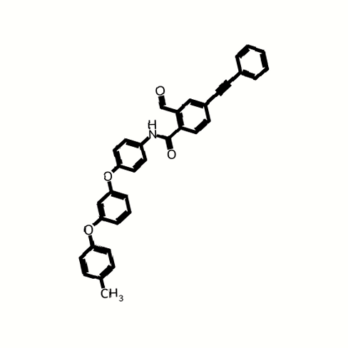 Cc1ccc(Oc2cccc(Oc3ccc(NC(=O)c4ccc(C#Cc5ccccc5)cc4C=O)cc3)c2)cc1